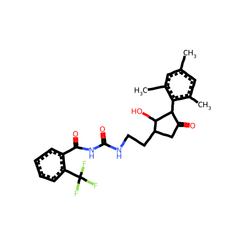 Cc1cc(C)c(C2C(=O)CC(CCNC(=O)NC(=O)c3ccccc3C(F)(F)F)C2O)c(C)c1